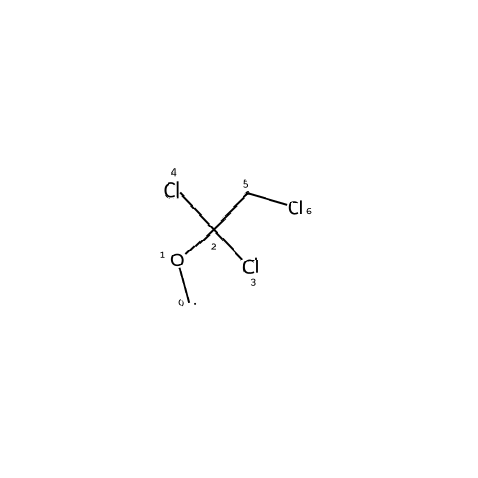 [CH2]OC(Cl)(Cl)CCl